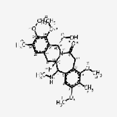 CNC1c2cc(OC)c(C)c(OC)c2CC(=O)N2[C@@H](CO)c3c(cc(C)c(OC)c3OC)C[C@@H]12